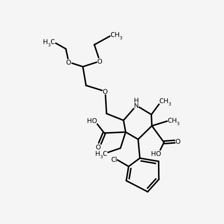 CCOC(COCC1NC(C)C(C)(C(=O)O)C(c2ccccc2Cl)C1(CC)C(=O)O)OCC